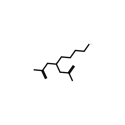 [CH2]CCCC[C](CC(=C)C)CC(=C)C